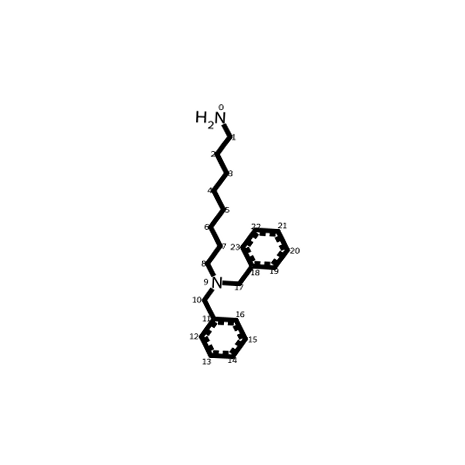 NCCCCCCCCN(Cc1ccccc1)Cc1ccccc1